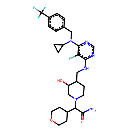 NC(=O)C(C1CCOCC1)N1CCC(CNc2ncnc(N(Cc3ccc(C(F)(F)F)cc3)C3CC3)c2F)C(O)C1